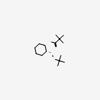 CC(C)(C)SS[C@H]1CCCC[C@@H]1OC(=O)C(C)(C)C